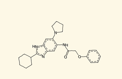 O=C(COc1ccccc1)Nc1cc2nc(C3CCCCC3)[nH]c2cc1N1CCCC1